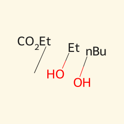 CCCCO.CCO.CCOC(C)=O